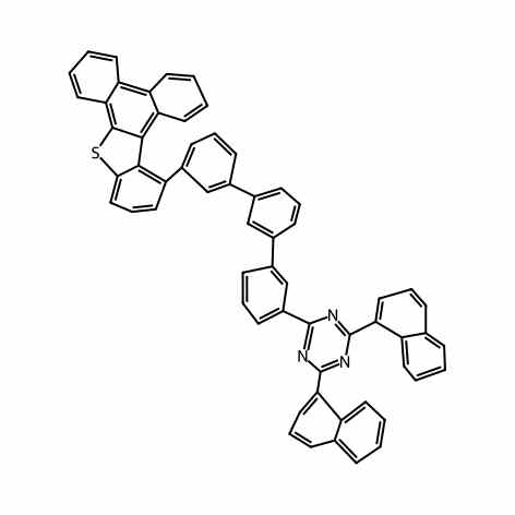 c1cc(-c2cccc(-c3nc(-c4cccc5ccccc45)nc(-c4cccc5ccccc45)n3)c2)cc(-c2cccc(-c3cccc4sc5c6ccccc6c6ccccc6c5c34)c2)c1